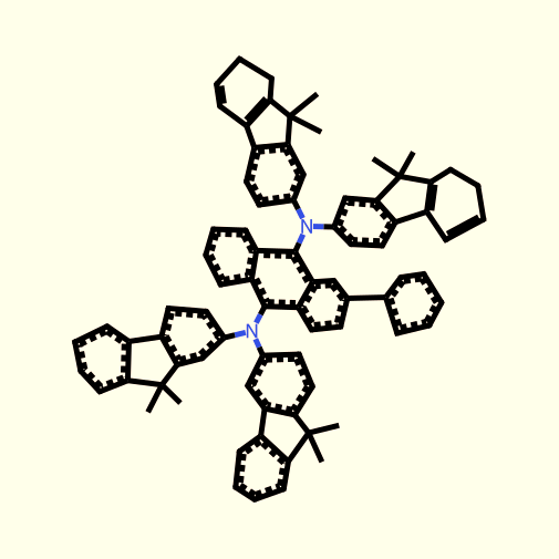 CC1(C)C2=C(C=CCC2)c2ccc(N(c3ccc4c(c3)C(C)(C)C3=C4C=CCC3)c3c4ccccc4c(N(c4ccc5c(c4)-c4ccccc4C5(C)C)c4ccc5c(c4)C(C)(C)c4ccccc4-5)c4ccc(-c5ccccc5)cc34)cc21